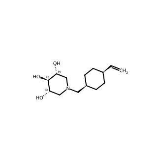 C=C[C@H]1CC[C@@H](CN2C[C@@H](O)[C@H](O)[C@@H](O)C2)CC1